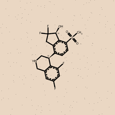 CS(=O)(=O)c1ccc([C@@H]2CNCc3cc(F)cc(F)c32)c2c1[C@H](O)C(F)(F)C2